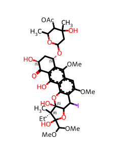 CC[C@@]1(C)C(O)(C(OC)OC)OC2C(I)c3c(OC)cc4c(OC)c5c(c(O)c4c3O[C@]21O)C(=O)[C@@H](O)C[C@@H]5OC1CC(C)(O)C(OC(C)=O)C(C)O1